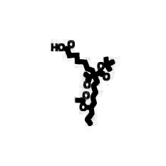 CCCC(CCCCCC(CCCCCCC(=O)O)(C(C)=O)C(=O)OC(C)(C)C)OC(C)=O